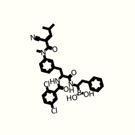 CC(C)C=C(C#N)C(=O)N(C)c1cccc(CC(NC(=O)c2cc(Cl)ccc2Cl)C(=O)NC(Cc2ccccc2)B(O)O)c1